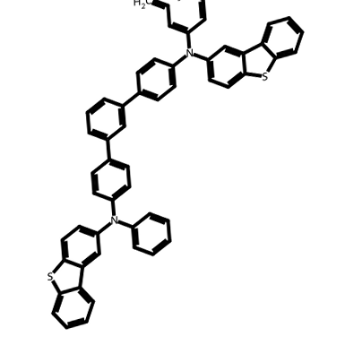 C=C/C=C(\C=C/C)N(c1ccc(-c2cccc(-c3ccc(N(c4ccccc4)c4ccc5sc6ccccc6c5c4)cc3)c2)cc1)c1ccc2sc3ccccc3c2c1